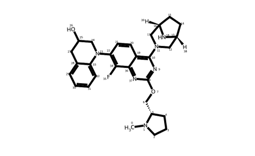 CN1CCC[C@H]1COc1nc(N2C[C@H]3CC[C@@H](C2)N3)c2ccc(N3CC(O)Cc4ccccc43)c(F)c2n1